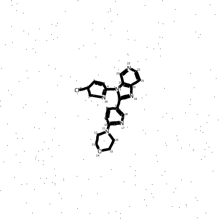 ClC1C=CC(n2c(-c3ccc(N4CCOCC4)nc3)nc3ccncc32)=NC1